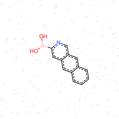 OB(O)c1cc2cc3ccccc3cc2cn1